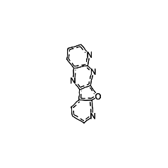 c1cnc2nc3oc4ncccc4c3nc2c1